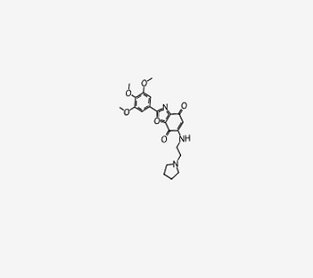 COc1cc(-c2nc3c(o2)C(=O)C(NCCN2CCCC2)=CC3=O)cc(OC)c1OC